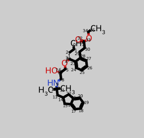 CCC[C@@H](OC[C@H](O)CNC(C)(C)CC1Cc2ccccc2C1)c1ccccc1CCC(=O)OCC